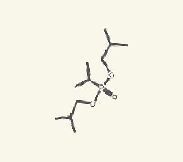 CC(C)COP(=O)(OCC(C)C)C(C)C